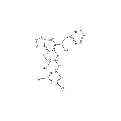 CCCN(Cc1ccccc1)c1cc2c(cc1CN(Cc1cc(C(F)(F)F)cc(C(F)(F)F)c1)C(=O)OC)CCC2